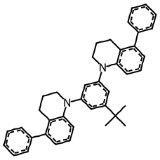 CC(C)(C)c1cc(N2CCCc3c(-c4ccccc4)cccc32)cc(N2CCCc3c(-c4ccccc4)cccc32)c1